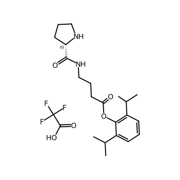 CC(C)c1cccc(C(C)C)c1OC(=O)CCCNC(=O)[C@@H]1CCCN1.O=C(O)C(F)(F)F